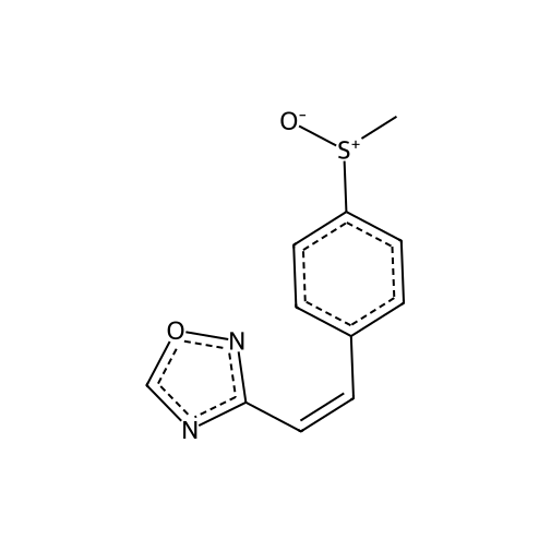 C[S+]([O-])c1ccc(/C=C\c2ncon2)cc1